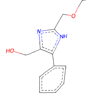 CCOCc1nc(CO)c(-c2ccccc2)[nH]1